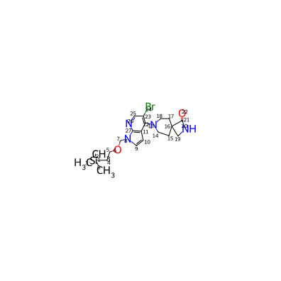 C[Si](C)(C)CCOCn1ccc2c(N3CCC4(CC3)CNC4=O)c(Br)cnc21